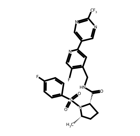 C[C@H]1CC[C@@H](C(=O)NCc2cc(-c3cnc(C(F)(F)F)nc3)ncc2F)N1S(=O)(=O)c1ccc(F)cc1